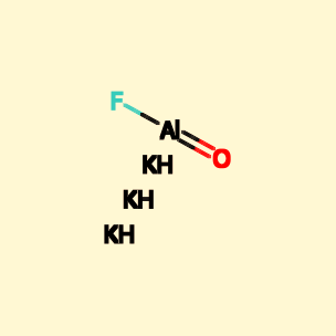 [KH].[KH].[KH].[O]=[Al][F]